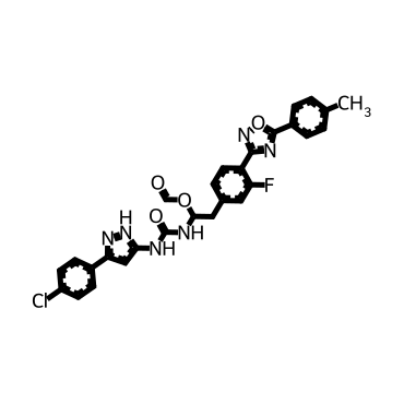 Cc1ccc(-c2nc(-c3ccc(CC(NC(=O)Nc4cc(-c5ccc(Cl)cc5)n[nH]4)OC=O)cc3F)no2)cc1